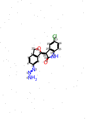 NN=Nc1ccc2c(c1)/C(=C1\C(=O)Nc3ccc(Cl)cc31)OC2